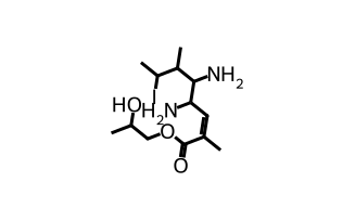 CC(=CC(N)C(N)C(C)C(C)I)C(=O)OCC(C)O